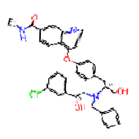 CCNC(=O)c1ccc2c(Oc3ccc(C[C@@H](CO)N(Cc4ccccc4)C[C@H](O)c4cccc(Cl)c4)cc3)ccnc2c1